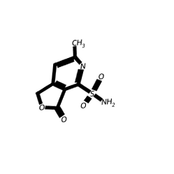 Cc1cc2c(c(S(N)(=O)=O)n1)C(=O)OC2